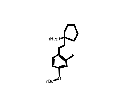 CCCCCCCC1(CCc2ccc(OCCCC)cc2F)CCCCC1